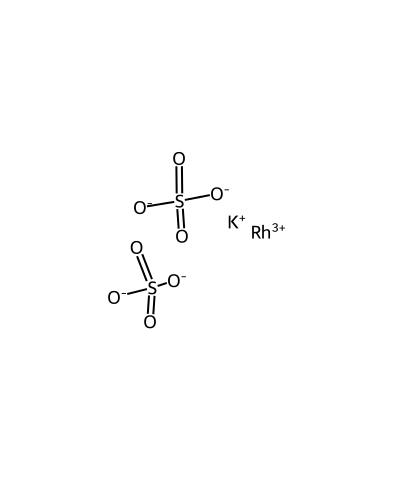 O=S(=O)([O-])[O-].O=S(=O)([O-])[O-].[K+].[Rh+3]